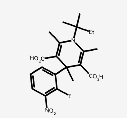 CCC(C)(C)N1C(C)=C(C(=O)O)C(C)(c2cccc([N+](=O)[O-])c2F)C(C(=O)O)=C1C